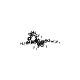 CCCCCOc1ccc(-c2nc(C)c(C(=O)N[C@@H](CCN)C(=O)N(C)[C@@H]3C(=O)N[C@@H](C)C(=O)N[C@H](C(=O)O)Cc4ccc(OCCN)c(c4)-c4cc3ccc4O)c(C)n2)cc1